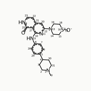 CN1CCC(c2ccc(Nc3nc(N4CC[S+]([O-])CC4)cc4cc[nH]c(=O)c34)cc2)CC1